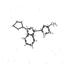 Cc1cc(-c2nn(C3CCCC3)c3ncncc23)on1